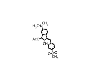 CC(=O)OC1=C(C)C(=Cc2ccc(S(C)(=O)=O)cc2)c2ccc(N(C)C)cc21